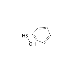 OS.[c]1ccccc1